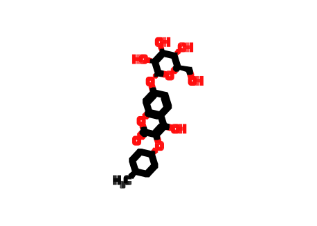 C[C@H]1CC[C@@H](Oc2c(O)c3ccc(O[C@H]4O[C@H](CO)[C@@H](O)[C@H](O)[C@@H]4O)cc3oc2=O)CC1